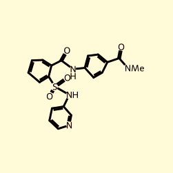 CNC(=O)c1ccc(NC(=O)c2ccccc2S(=O)(=O)Nc2cccnc2)cc1